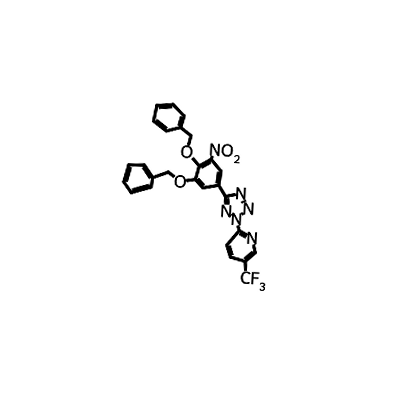 O=[N+]([O-])c1cc(-c2nnn(-c3ccc(C(F)(F)F)cn3)n2)cc(OCc2ccccc2)c1OCc1ccccc1